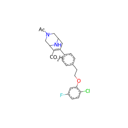 CC(=O)N1CC2CC(c3ccc(CCOc4cc(F)ccc4Cl)cc3)=C(C(=O)O)C(C1)N2